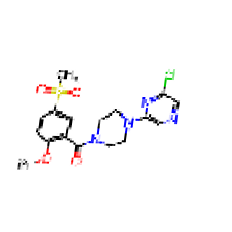 CC(C)Oc1ccc(S(C)(=O)=O)cc1C(=O)N1CCN(c2cncc(Cl)n2)CC1